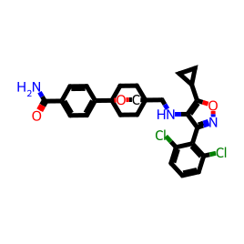 NC(=O)c1ccc(C23CCC(CNc4c(-c5c(Cl)cccc5Cl)noc4C4CC4)(CC2)CO3)cc1